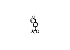 CC(C)(C)C(=O)c1ccc2cnccc2c1